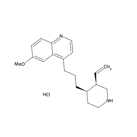 C=C[C@H]1CNCC[C@H]1CCCc1ccnc2ccc(OC)cc12.Cl